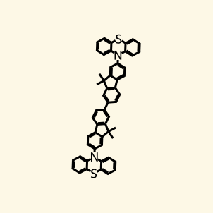 CC1(C)c2cc(-c3ccc4c(c3)C(C)(C)c3cc(N5c6ccccc6Sc6ccccc65)ccc3-4)ccc2-c2ccc(N3c4ccccc4Sc4ccccc43)cc21